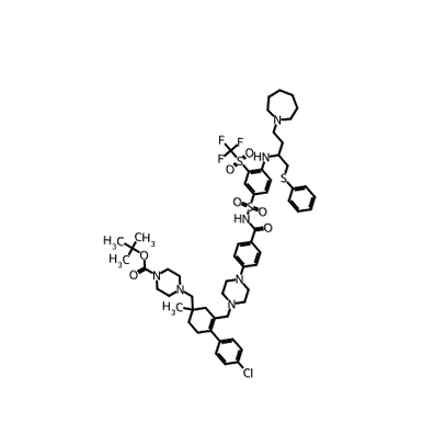 CC1(CN2CCN(C(=O)OC(C)(C)C)CC2)CCC(c2ccc(Cl)cc2)=C(CN2CCN(c3ccc(C(=O)NS(=O)(=O)c4ccc(NC(CCN5CCCCCC5)CSc5ccccc5)c(S(=O)(=O)C(F)(F)F)c4)cc3)CC2)C1